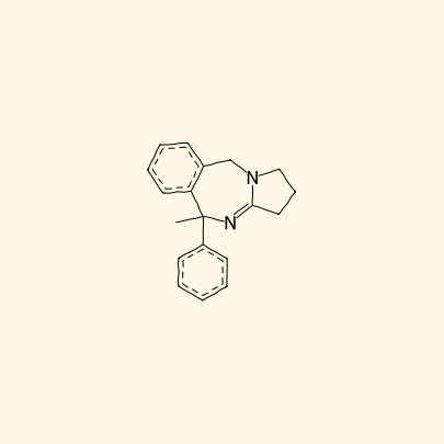 CC1(c2ccccc2)N=C2CCCN2Cc2ccccc21